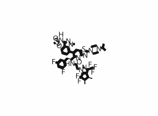 CC(C)N1CCN(c2nc3nc([C@H](Cc4cc(F)cc(F)c4)NC(=O)Cn4nc(C(F)(F)F)c5c4C(F)(F)[C@H](C)[C@@H]5C)c(-c4cccc5c(NS(C)(=O)=O)nn(C)c45)cc3s2)CC1